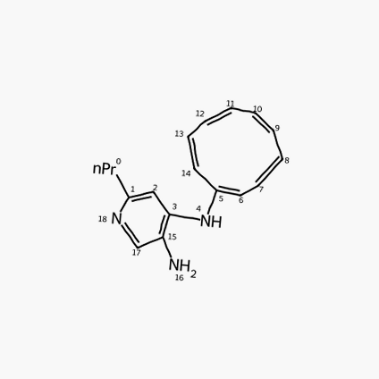 CCCc1cc(Nc2ccccccccc2)c(N)cn1